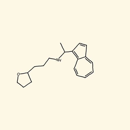 CC(NCCCC1CCCO1)c1ccc2cccccc1-2